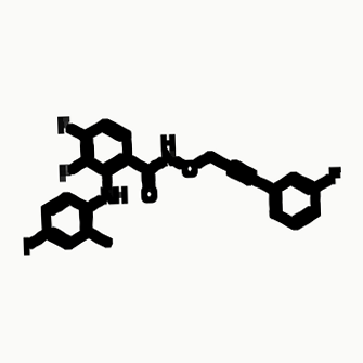 Cc1cc(I)ccc1Nc1c(C(=O)NOCC#Cc2cccc(F)c2)ccc(F)c1F